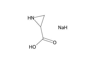 O=C(O)C1CN1.[NaH]